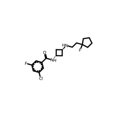 O=C(N[C@H]1C[C@H](NCCC2(F)CCCC2)C1)c1cc(F)cc(Cl)c1